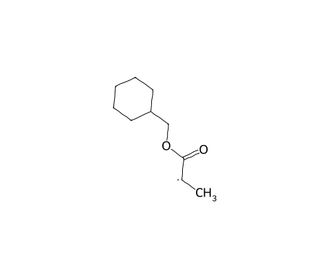 C[CH]C(=O)OCC1CCCCC1